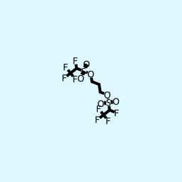 O=S(=O)(OCCCOS(=O)(=O)C(F)C(F)(F)F)C(F)C(F)(F)F